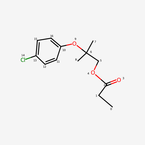 CCC(=O)OCC(C)(C)Oc1ccc(Cl)cc1